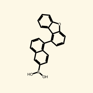 OB(O)c1ccc2c(-c3cccc4oc5ccccc5c34)cccc2c1